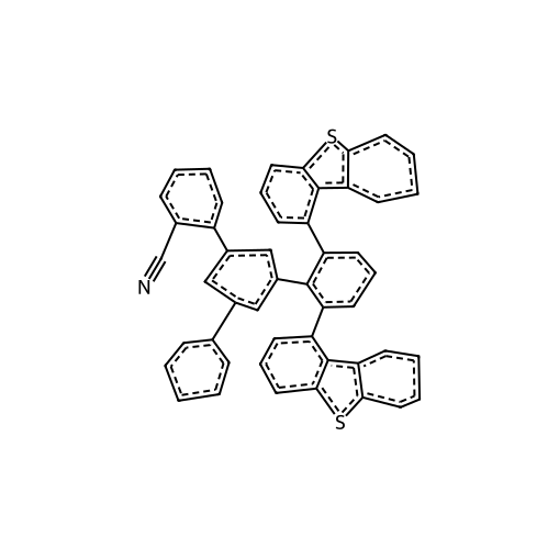 N#Cc1ccccc1-c1cc(-c2ccccc2)cc(-c2c(-c3cccc4sc5ccccc5c34)cccc2-c2cccc3sc4ccccc4c23)c1